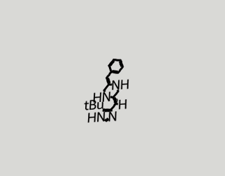 [2H]C(=C1CNC(=Cc2ccccc2)CN1)c1nc[nH]c1C(C)(C)C